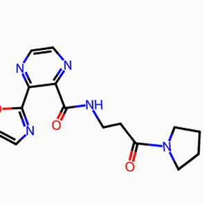 O=C(NCCC(=O)N1CCCC1)c1nccnc1-c1ncco1